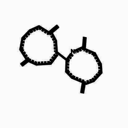 C=c1ccccc(=C)cc(-c2ccc(=C)ccccc(=C)n2)cc1